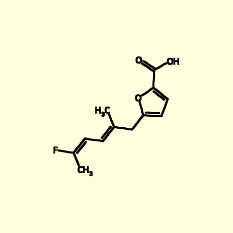 C/C(F)=C\C=C(/C)Cc1ccc(C(=O)O)o1